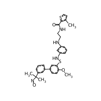 COc1ccc(-c2cccc(C(C)(C)N=O)c2)cc1SNc1cccc(NCCNC(=O)c2sccc2C)c1